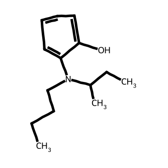 CCCCN(c1ccccc1O)C(C)CC